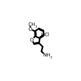 COc1cccc2c(CCN)coc12.Cl